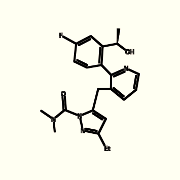 CCc1cc(Cc2cccnc2-c2ccc(F)cc2[C@@H](C)O)n(C(=O)N(C)C)n1